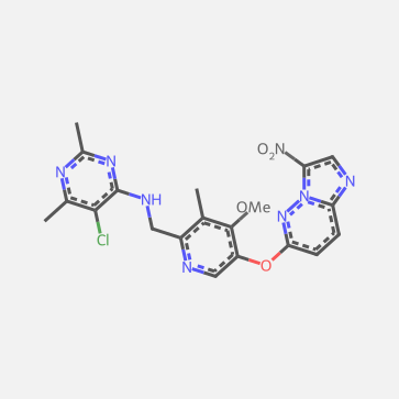 COc1c(Oc2ccc3ncc([N+](=O)[O-])n3n2)cnc(CNc2nc(C)nc(C)c2Cl)c1C